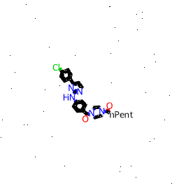 CCCCCC(=O)N1CCN(C(=O)c2ccc(Nc3nccc(-c4ccc(Cl)cc4)n3)cc2)CC1